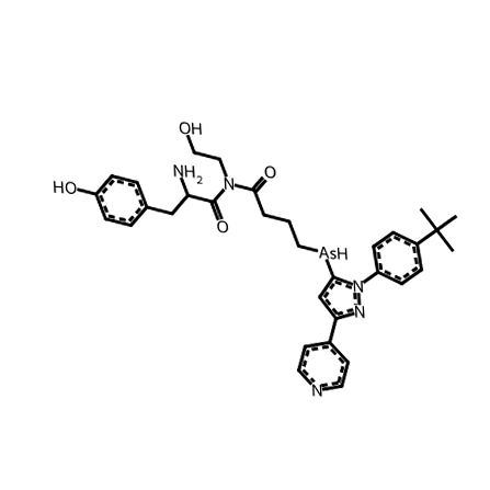 CC(C)(C)c1ccc(-n2nc(-c3ccncc3)cc2[AsH]CCCC(=O)N(CCO)C(=O)C(N)Cc2ccc(O)cc2)cc1